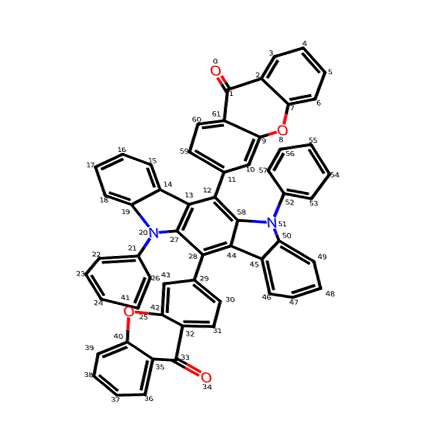 O=c1c2ccccc2oc2cc(-c3c4c5ccccc5n(-c5ccccc5)c4c(-c4ccc5c(=O)c6ccccc6oc5c4)c4c5ccccc5n(-c5ccccc5)c34)ccc12